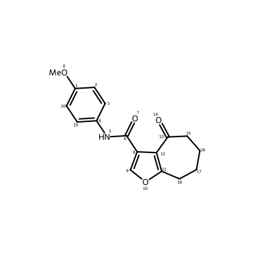 COc1ccc(NC(=O)c2coc3c2C(=O)CCCC3)cc1